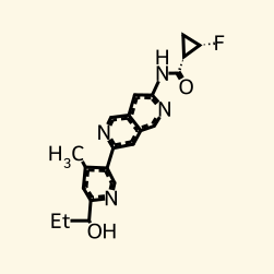 CCC(O)c1cc(C)c(-c2cc3cnc(NC(=O)[C@@H]4C[C@@H]4F)cc3cn2)cn1